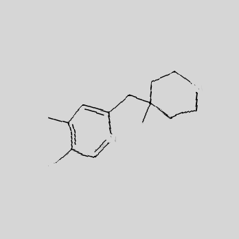 FC1(Cc2cc(C(F)(F)F)c(Cl)cn2)CCNCC1